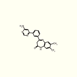 Cc1cc2c(cc1C(F)(F)F)NC(=O)CC(c1cccc(-c3cc(N)ncn3)c1)=N2